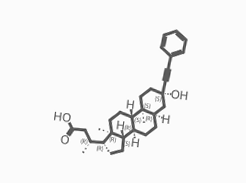 C[C@H](CC(=O)O)[C@H]1CC[C@H]2[C@@H]3CC[C@@H]4C[C@](O)(C#Cc5ccccc5)CC[C@]4(C)[C@H]3CC[C@]12C